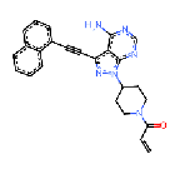 C=CC(=O)N1CCC(n2nc(C#Cc3cccc4ccccc34)c3c(N)ncnc32)CC1